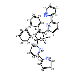 C[Si]1(C)C(c2cccc(-c3ccccn3)n2)=C(c2ccccc2)[C@@H](c2ccccc2)C1c1cccc(-c2ccccn2)n1